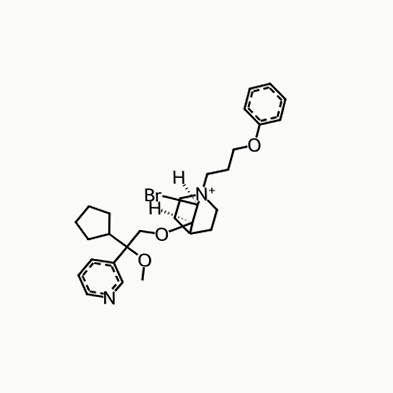 COC(CO[C@@H]1C2CC[N+](CCCOc3ccccc3)(CC2)[C@@H]1Br)(c1cccnc1)C1CCCC1